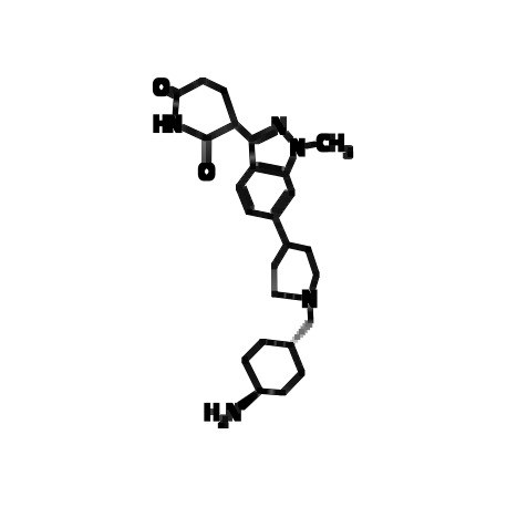 Cn1nc(C2CCC(=O)NC2=O)c2ccc(C3CCN(C[C@H]4CC[C@H](N)CC4)CC3)cc21